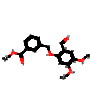 COC(=O)c1cccc(COc2cc(OC)c(OC)cc2C=O)c1